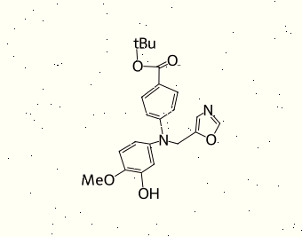 COc1ccc(N(Cc2cnco2)c2ccc(C(=O)OC(C)(C)C)cc2)cc1O